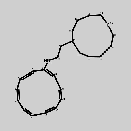 C1=C\C=C/C=C\C(NCCC2CCCCCCCCCC2)=C/C=C\C=C/1